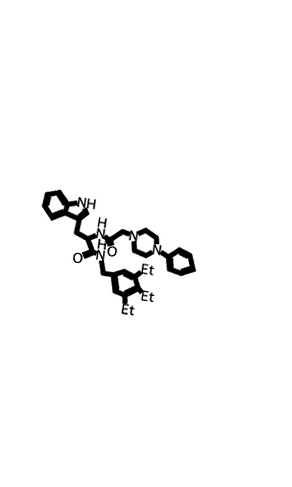 CCc1cc(CNC(=O)C(Cc2c[nH]c3ccccc23)NC(=O)CN2CCN(c3ccccc3)CC2)cc(CC)c1CC